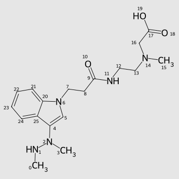 CNN(C)c1cn(CCC(=O)NCCN(C)CC(=O)O)c2ccccc12